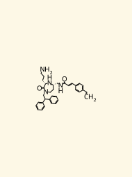 C=Cc1ccc(/C=C/C(=O)NC[C@@H]2CCN(CC(c3ccccc3)c3ccccc3)C(=O)[C@H](CCCN)N2)cc1